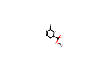 CCOC(=O)[C@H]1CC=C[C@@H](C)C1